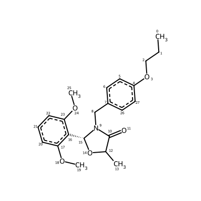 CCCOc1ccc(CN2C(=O)C(C)O[C@@H]2c2c(OC)cccc2OC)cc1